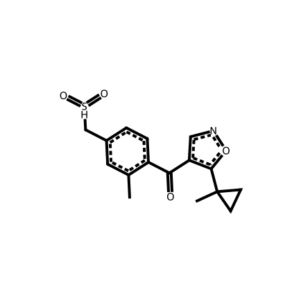 Cc1cc(C[SH](=O)=O)ccc1C(=O)c1cnoc1C1(C)CC1